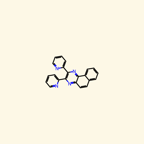 c1ccc(-c2nc3ccc4ccccc4c3nc2-c2ccccn2)nc1